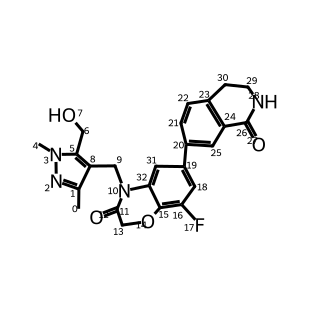 Cc1nn(C)c(CO)c1CN1C(=O)COc2c(F)cc(-c3ccc4c(c3)C(=O)NCC4)cc21